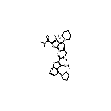 CN(C)C(=O)c1sc2nc(CN(C)C(=O)c3sc4nccc(N5CCCC5)c4c3N)cc(N3CCCCC3)c2c1N